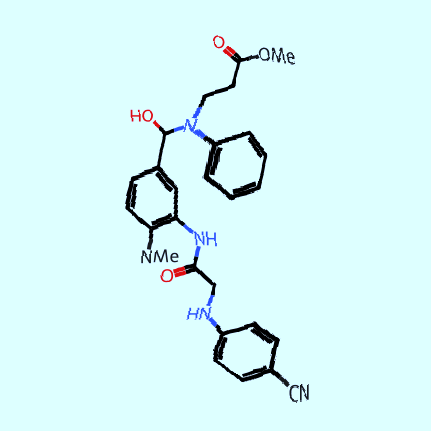 CNc1ccc(C(O)N(CCC(=O)OC)c2ccccc2)cc1NC(=O)CNc1ccc(C#N)cc1